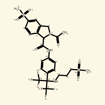 CC(=O)N1Cc2cc(S(C)(=O)=O)ccc2C1C(=O)Nc1ccc(C(NCCCS(C)(=O)=O)(C(F)(F)F)C(F)(F)F)cc1